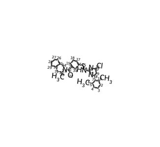 Cc1cccc(C)c1-c1cc(Cl)nc(NSc2cccc(C(=O)N3Cc4ccccc4C[C@@H]3C)c2)n1